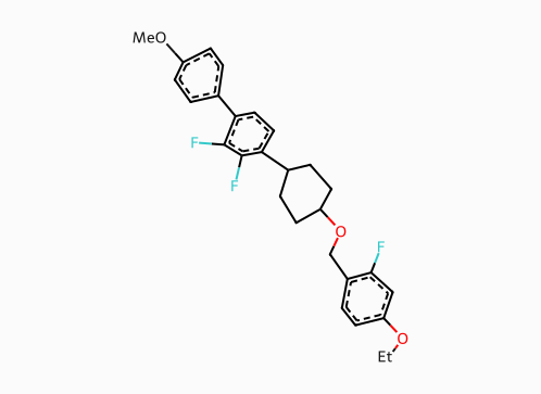 CCOc1ccc(COC2CCC(c3ccc(-c4ccc(OC)cc4)c(F)c3F)CC2)c(F)c1